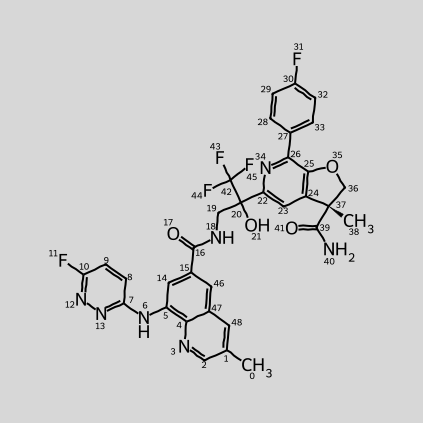 Cc1cnc2c(Nc3ccc(F)nn3)cc(C(=O)NCC(O)(c3cc4c(c(-c5ccc(F)cc5)n3)OC[C@]4(C)C(N)=O)C(F)(F)F)cc2c1